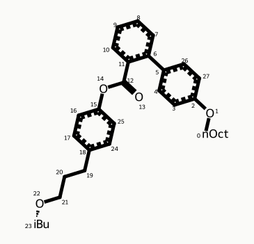 CCCCCCCCOc1ccc(-c2ccccc2C(=O)Oc2ccc(CCCO[C@@H](C)CC)cc2)cc1